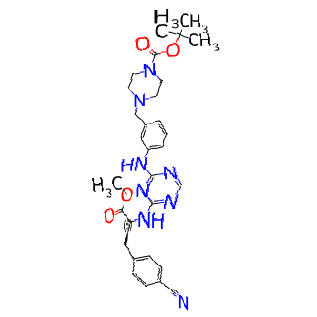 COC(=O)[C@H](Cc1ccc(C#N)cc1)Nc1ncnc(Nc2cccc(CN3CCN(C(=O)OC(C)(C)C)CC3)c2)n1